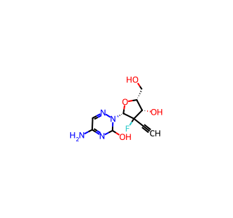 C#CC1(F)[C@@H](O)[C@@H](CO)O[C@H]1N1N=CC(N)=NC1O